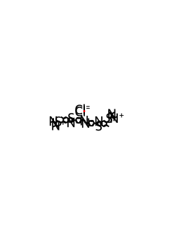 Cc1cc2sc(-c3ccc(N=Nc4ccc(-c5nc6cc(CSC(N(C)C)=[N+](C)C)c(C)cc6s5)cc4)cc3)nc2cc1CSC(N(C)C)=[N+](C)C.[Cl-].[Cl-]